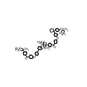 CCC(C)(CC)Oc1ccc(C2(c3ccc(Oc4ccc(C(=O)c5ccc(C(CC)(CC)C(CC)(CC)Oc6ccc(-c7ccc(Oc8ccc(C(=O)c9ccc(C(C)(CC)CC)cc9)cc8)cc7)cc6)cc5)cc4)cc3)CCCCC2)cc1